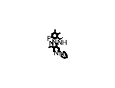 Cc1cc(F)cc([C@@H](C)Nc2nnc(C)c3cnc(N4CC5CC(C4)O5)cc23)c1C